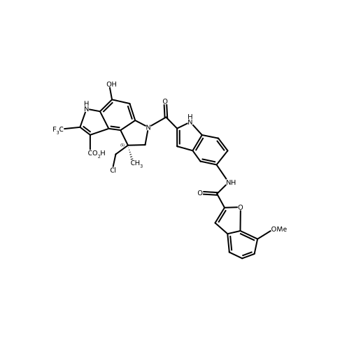 COc1cccc2cc(C(=O)Nc3ccc4[nH]c(C(=O)N5C[C@@](C)(CCl)c6c5cc(O)c5[nH]c(C(F)(F)F)c(C(=O)O)c65)cc4c3)oc12